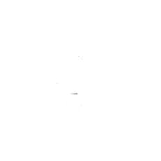 O=C(c1ccc(Cl)cc1)C1CCN(CCO)CC1